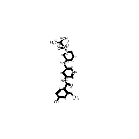 CCc1cc(Cl)ccc1C(=O)Nc1cncc(NC2CCCN(S(=O)(=O)C(C)C)C2)c1